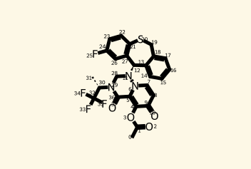 CC(=O)Oc1c2n(ccc1=O)N([C@H]1c3ccccc3CSc3ccc(F)cc31)CN([C@@H](C)C(F)(F)F)C2=O